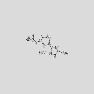 CCCc1nc(-c2cccc(CNO)c2)no1.Cl